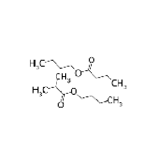 CCCCOC(=O)C(C)C.CCCCOC(=O)CCC